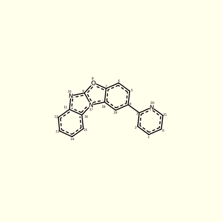 c1ccc(-c2ccc3oc4nc5ccccc5n4c3c2)nc1